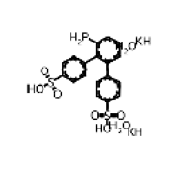 O.O.O=S(=O)(O)c1ccc(-c2cccc(P)c2-c2ccc(S(=O)(=O)O)cc2)cc1.[KH].[KH]